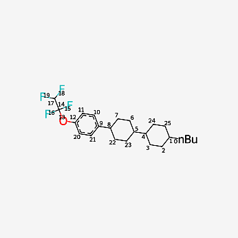 CCCCC1CCC(C2CCC(c3ccc(OC(F)(F)C(F)F)cc3)CC2)CC1